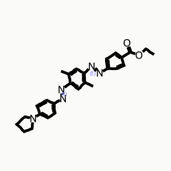 CCOC(=O)c1ccc(/N=N/c2cc(C)c(/N=N/c3ccc(N4CCCC4)cc3)cc2C)cc1